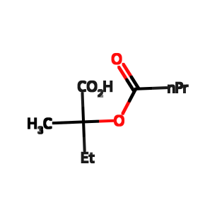 CCCC(=O)OC(C)(CC)C(=O)O